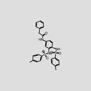 Cc1ccc(S(=O)(=O)Nc2ccc(NC(=O)Cc3ccccc3)cc2NS(=O)(=O)c2ccc(C)cc2)cc1